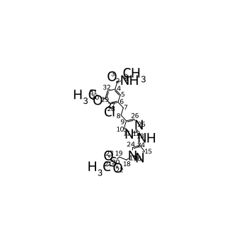 CNC(=O)c1cc(CCc2cnc(Nc3cnn(CCS(C)(=O)=O)c3)nc2)c(Cl)c(OC)c1